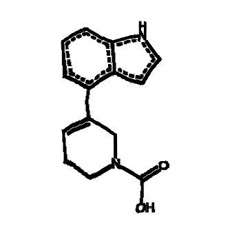 O=C(O)N1CCC=C(c2cccc3[nH]ccc23)C1